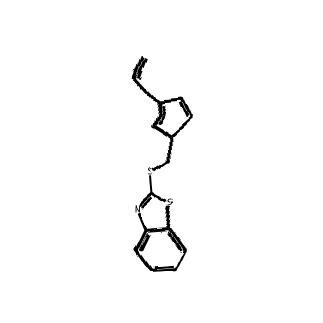 C=CC1=CC(CSc2nc3ccccc3s2)C=C1